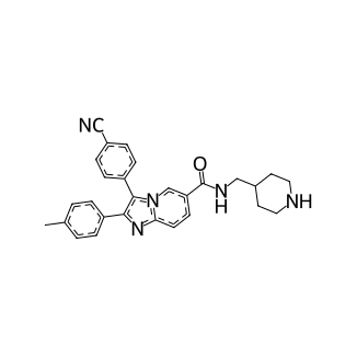 Cc1ccc(-c2nc3ccc(C(=O)NCC4CCNCC4)cn3c2-c2ccc(C#N)cc2)cc1